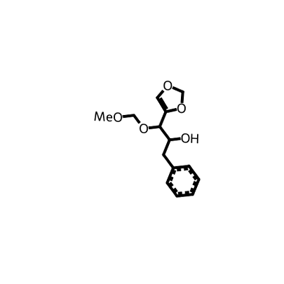 COCOC(C1=COCO1)C(O)Cc1ccccc1